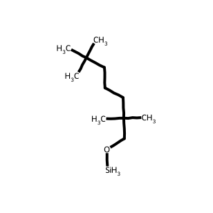 CC(C)(C)CCCC(C)(C)CO[SiH3]